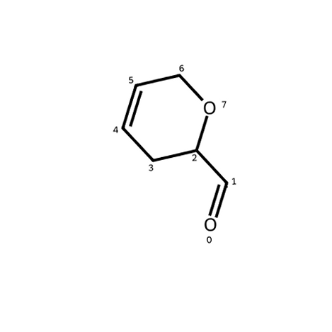 O=[C]C1CC=CCO1